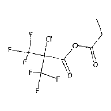 CCC(=O)OC(=O)C(Cl)(C(F)(F)F)C(F)(F)F